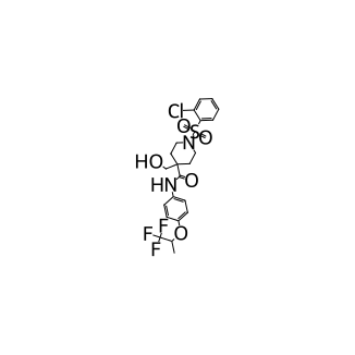 CC(Oc1ccc(NC(=O)C2(CO)CCN(S(=O)(=O)c3ccccc3Cl)CC2)cc1)C(F)(F)F